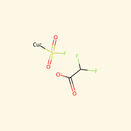 O=C([O-])C(F)F.O=[S](=O)(F)[Cu+]